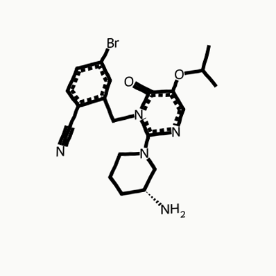 CC(C)Oc1cnc(N2CCC[C@@H](N)C2)n(Cc2cc(Br)ccc2C#N)c1=O